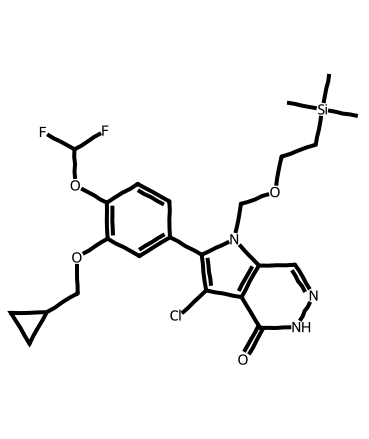 C[Si](C)(C)CCOCn1c(-c2ccc(OC(F)F)c(OCC3CC3)c2)c(Cl)c2c(=O)[nH]ncc21